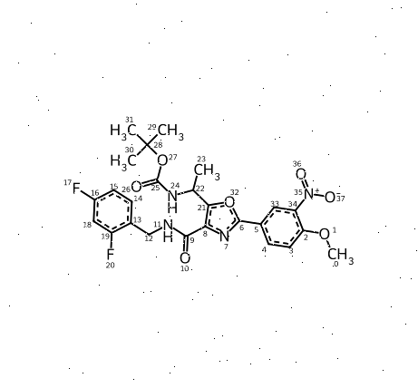 COc1ccc(-c2nc(C(=O)NCc3ccc(F)cc3F)c(C(C)NC(=O)OC(C)(C)C)o2)cc1[N+](=O)[O-]